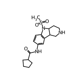 CS(=O)(=O)N1c2ccc(NC(=O)C3CCCC3)cc2C2CNCCC21